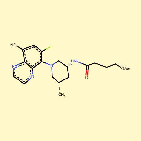 COCCCC(=O)N[C@@H]1C[C@H](C)CN(c2c(F)cc(C#N)c3nccnc23)C1